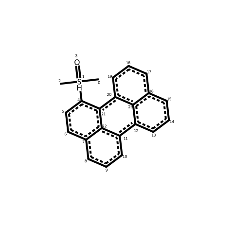 C[SH](C)(=O)c1ccc2cccc3c4cccc5cccc(c1c23)c54